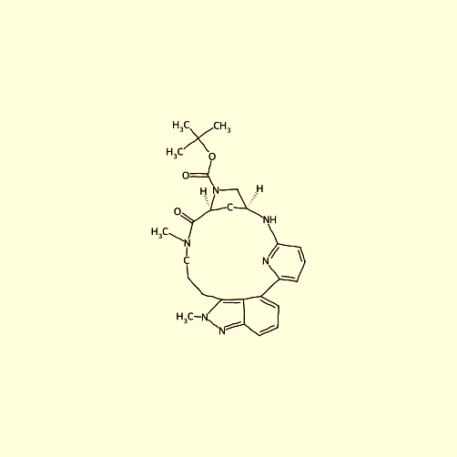 CN1CCCc2c3c(cccc3nn2C)-c2cccc(n2)N[C@H]2C[C@@H](C1=O)N(C(=O)OC(C)(C)C)C2